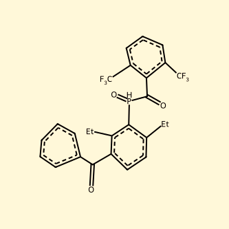 CCc1ccc(C(=O)c2ccccc2)c(CC)c1[PH](=O)C(=O)c1c(C(F)(F)F)cccc1C(F)(F)F